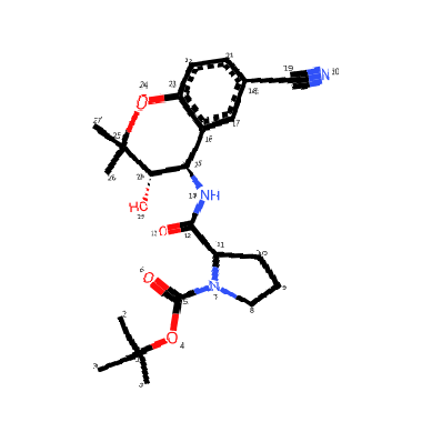 CC(C)(C)OC(=O)N1CCCC1C(=O)N[C@@H]1c2cc(C#N)ccc2OC(C)(C)[C@H]1O